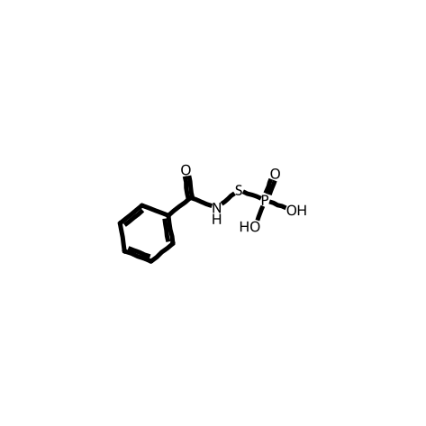 O=C(NSP(=O)(O)O)c1ccccc1